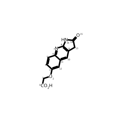 O=C(O)COc1ccc2nc3c(cc2c1)CC(=O)N3